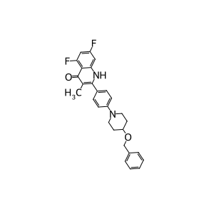 Cc1c(-c2ccc(N3CCC(OCc4ccccc4)CC3)cc2)[nH]c2cc(F)cc(F)c2c1=O